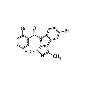 Cc1nn(C)c2c1c1cc(Br)ccc1n2C(=O)c1ccccc1Br